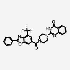 O=C(c1cc(C(F)(F)F)c2nc(-c3ccccc3)oc2c1)N1CCN(c2nc3ccccc3c(=O)[nH]2)CC1